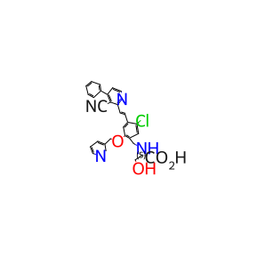 N#Cc1c(-c2ccccc2)ccnc1C=Cc1cc(OCc2cccnc2)c(CN[C@@H](CO)C(=O)O)cc1Cl